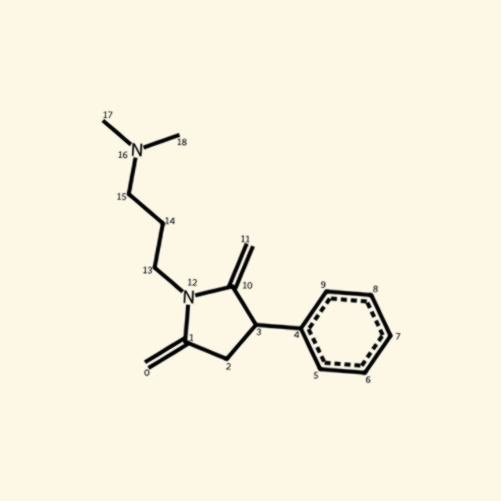 C=C1CC(c2ccccc2)C(=C)N1CCCN(C)C